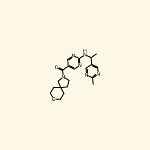 Cc1ncc(C(C)Nc2ncc(C(=O)N3CCC4(CCOCC4)C3)cn2)cn1